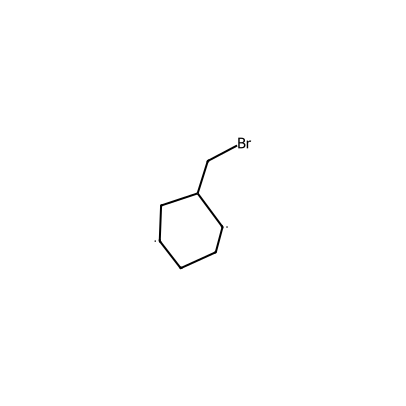 BrCC1[CH]CC[CH]C1